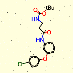 CC(C)(C)OC(=O)NCCC(=O)Nc1cccc(Oc2ccc(Cl)cc2)c1